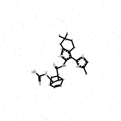 Cc1csc(-c2c(NC(=O)C3C4C=CC(CC4)C3OC(=O)O)sc3c2CCC(C)(C)C3)n1